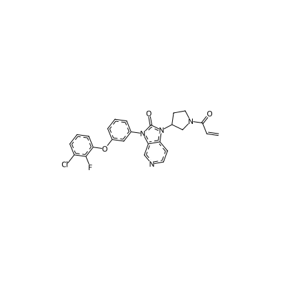 C=CC(=O)N1CCC(n2c(=O)n(-c3cccc(Oc4cccc(Cl)c4F)c3)c3cnccc32)C1